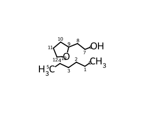 CCCCCC.OCCC1CCCO1